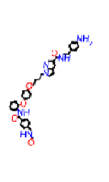 Nc1ccc(CCNC(=O)c2cnc3c(ccn3CCCCOc3ccc(Oc4ccccc4NC(=O)c4ccc(CNC=O)cc4)cc3)c2)cc1